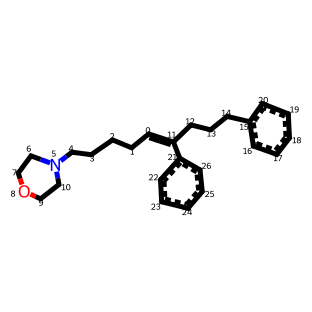 C(/CCCCN1CCOCC1)=C(\CCCc1ccccc1)c1ccccc1